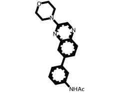 CC(=O)Nc1cccc(-c2ccc3ncc(N4CCOCC4)nc3c2)c1